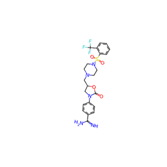 N=C(N)c1ccc(N2CC(CN3CCN(S(=O)(=O)c4ccccc4C(F)(F)F)CC3)OC2=O)cc1